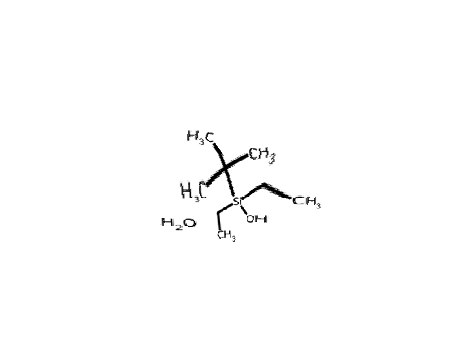 CC[Si](O)(CC)C(C)(C)C.O